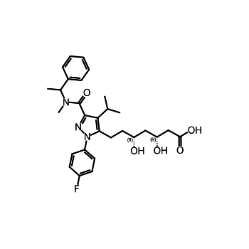 CC(C)c1c(C(=O)N(C)C(C)c2ccccc2)nn(-c2ccc(F)cc2)c1CC[C@@H](O)C[C@@H](O)CC(=O)O